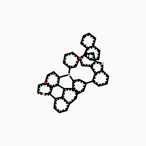 c1ccc(-c2cccc3cccc(-c4ccccc4N(c4cccc(-c5cccc6ccccc56)c4)c4cccc(-c5cccc6oc7ccccc7c56)c4)c23)cc1